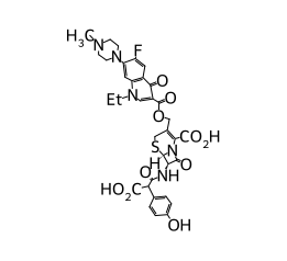 CCn1cc(C(=O)OCC2=C(C(=O)O)N3C(=O)[C@@H](NC(=O)C(C(=O)O)c4ccc(O)cc4)[C@H]3SC2)c(=O)c2cc(F)c(N3CCN(C)CC3)cc21